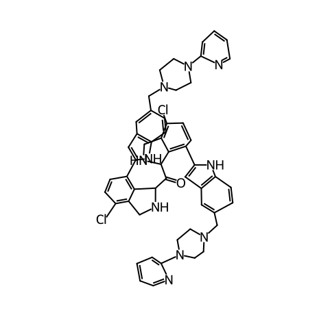 O=C(C1NCc2c(Cl)ccc(-c3cc4cc(CN5CCN(c6ccccn6)CC5)ccc4[nH]3)c21)C1NCc2c(Cl)ccc(-c3cc4cc(CN5CCN(c6ccccn6)CC5)ccc4[nH]3)c21